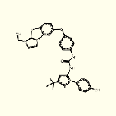 CC(C)(C)c1cc(NC(=O)Nc2ccc(Sc3ccc4c(c3)N3C=CN(CO)C3S4)cc2)n(-c2ccc(O)cc2)n1